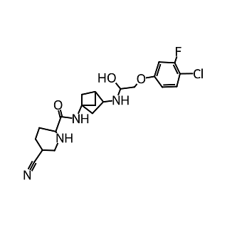 N#CC1CCC(C(=O)NC23CC(C2)C(NC(O)COc2ccc(Cl)c(F)c2)C3)NC1